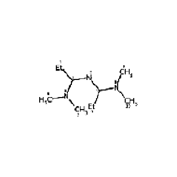 CCC([N]C(CC)N(C)C)N(C)C